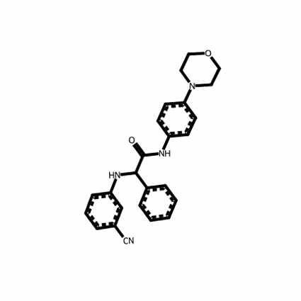 N#Cc1cccc(NC(C(=O)Nc2ccc(N3CCOCC3)cc2)c2ccccc2)c1